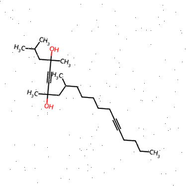 CCCCC#CCCCCCC(C)CC(C)(O)C#CC(C)(O)CC(C)C